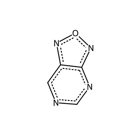 c1ncc2nonc2n1